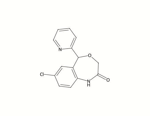 O=C1COC(c2ccccn2)c2cc(Cl)ccc2N1